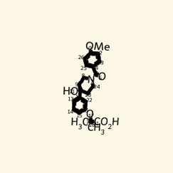 COc1ccc(C(=O)N2CCC(O)(c3cccc(OC(C)(C)C(=O)O)c3)CC2)cc1